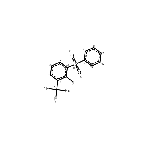 Cc1c(C(F)(F)F)cccc1S(=O)(=O)c1ccccc1